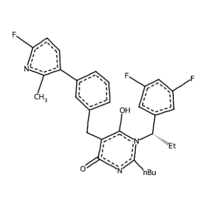 CCCCc1nc(=O)c(Cc2cccc(-c3ccc(F)nc3C)c2)c(O)n1[C@@H](CC)c1cc(F)cc(F)c1